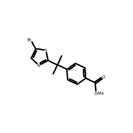 COC(=O)c1ccc(C(C)(C)c2ncc(Br)s2)cc1